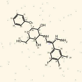 NN/C(=C\NC1C(O)[C@@H](Oc2ccccc2)OC(CO)[C@@H]1O)c1cc(F)c(F)c(F)c1